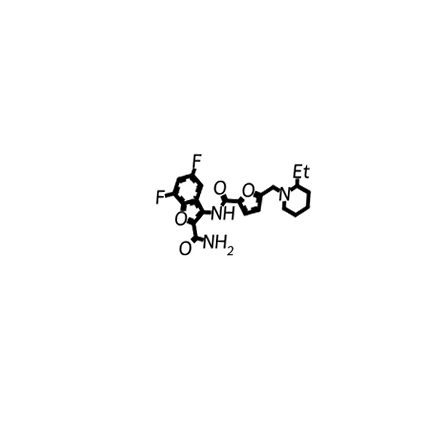 CCC1CCCCN1Cc1ccc(C(=O)Nc2c(C(N)=O)oc3c(F)cc(F)cc23)o1